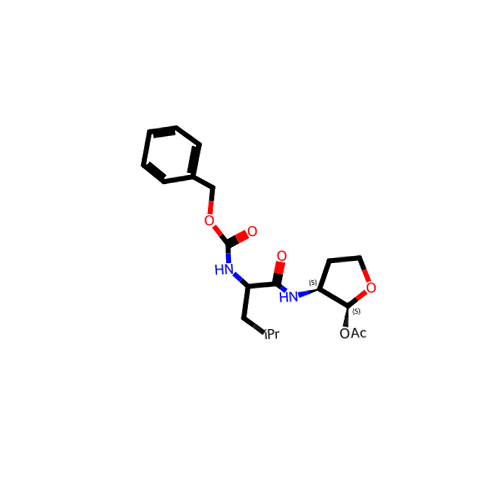 CC(=O)O[C@@H]1OCC[C@@H]1NC(=O)C(CC(C)C)NC(=O)OCc1ccccc1